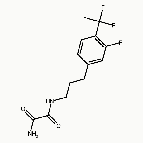 NC(=O)C(=O)NCC[CH]c1ccc(C(F)(F)F)c(F)c1